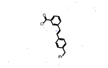 CC(C)Cc1ccc(/C=C/c2cccc(C(=O)Cl)c2)cc1